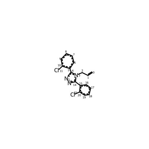 C=CCn1c(-c2ccccc2Cl)nnc1-c1ccccc1Cl